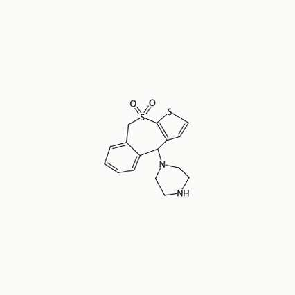 O=S1(=O)Cc2ccccc2C(N2CCNCC2)c2ccsc21